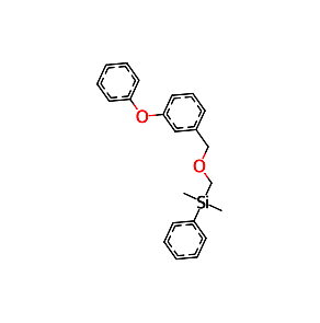 C[Si](C)(COCc1cccc(Oc2ccccc2)c1)c1ccccc1